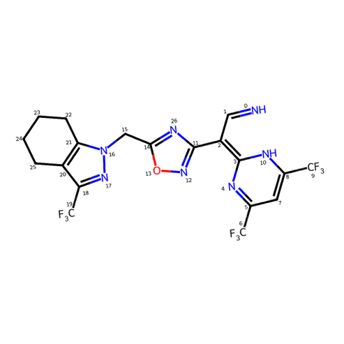 N=C/C(=C1/N=C(C(F)(F)F)C=C(C(F)(F)F)N1)c1noc(Cn2nc(C(F)(F)F)c3c2CCCC3)n1